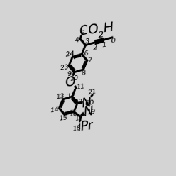 CC#CC(CC(=O)O)c1ccc(OCc2cccc3c(C(C)C)nn(C)c23)cc1